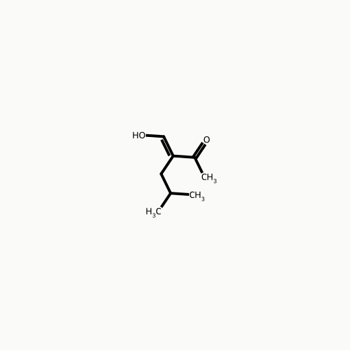 CC(=O)/C(=C/O)CC(C)C